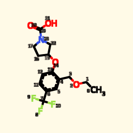 CCOCc1cc(C(F)(F)F)ccc1OC1CCN(C(=O)O)C1